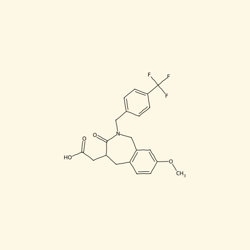 COc1ccc2c(c1)CN(Cc1ccc(C(F)(F)F)cc1)C(=O)C(CC(=O)O)C2